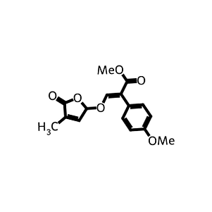 COC(=O)/C(=C/OC1C=C(C)C(=O)O1)c1ccc(OC)cc1